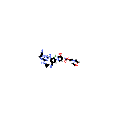 N#Cc1cc(Nc2nc(NC3CC3)c3ncc(C#N)n3n2)c(Cl)c(N2CC[C@@H](NC(=O)OCCN3CCOCC3)[C@H](O)C2)c1